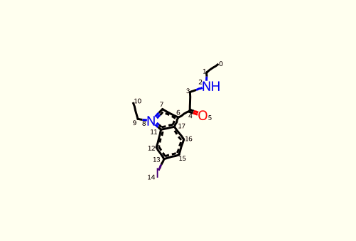 CCNCC(=O)c1cn(CC)c2cc(I)ccc12